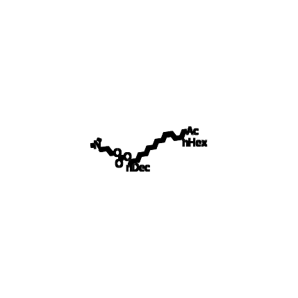 CCCCCCCCCCC(CCCCCCC/C=C\C[C@@H](CCCCCC)CC(C)=O)OC(=O)OCCCN(C)C